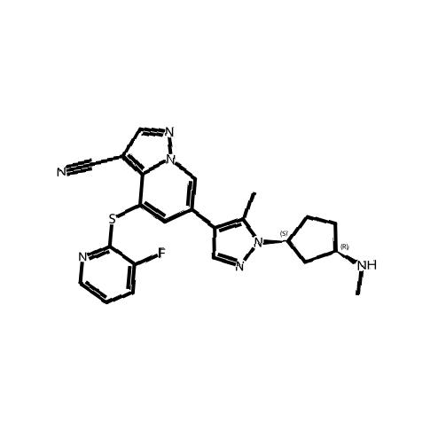 CN[C@@H]1CC[C@H](n2ncc(-c3cc(Sc4ncccc4F)c4c(C#N)cnn4c3)c2C)C1